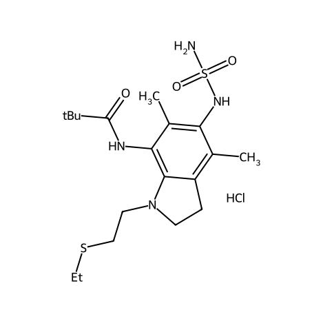 CCSCCN1CCc2c(C)c(NS(N)(=O)=O)c(C)c(NC(=O)C(C)(C)C)c21.Cl